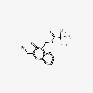 CC(C)(C)C(=O)OCn1c(=O)c(CBr)cc2ccccc21